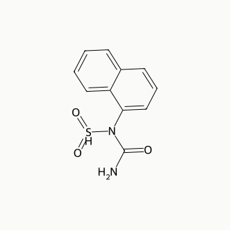 NC(=O)N(c1cccc2ccccc12)[SH](=O)=O